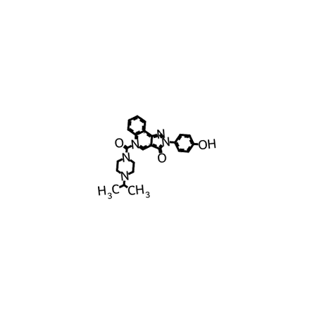 CC(C)N1CCN(C(=O)n2cc3c(=O)n(-c4ccc(O)cc4)nc-3c3ccccc32)CC1